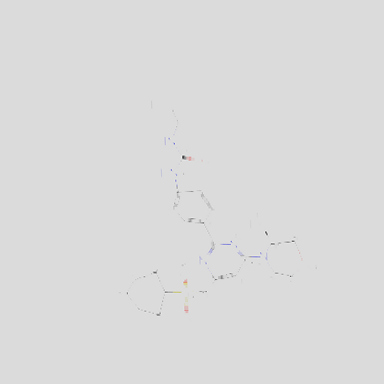 CCNC(=O)Nc1ccc(-c2nc(CS(=O)(=O)C3CCCCC3)cc(N3CCOC[C@@H]3C)n2)cc1